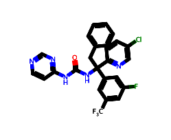 O=C(Nc1ccncn1)NC(Cc1ccccc1)(c1cc(F)cc(C(F)(F)F)c1)c1ccc(Cl)cn1